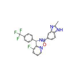 Cc1nc2cc(C(=O)NC(c3ccc(C(F)(F)F)cc3)c3ncccc3F)ccc2[nH]1